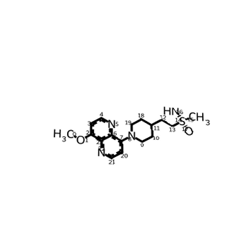 COc1ccnc2c(N3CCC(CCS(C)(=N)=O)CC3)ccnc12